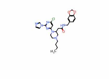 CCCCN1CCN(c2cc(Cl)nc(-n3ccnc3)n2)C(CC(=O)NCc2ccc3c(c2)OCO3)C1